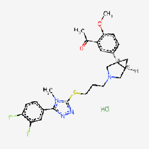 COc1ccc([C@]23C[C@H]2CN(CCCSc2nnc(-c4ccc(F)c(F)c4)n2C)C3)cc1C(C)=O.Cl